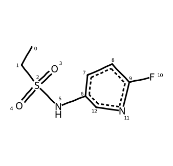 CCS(=O)(=O)Nc1ccc(F)nc1